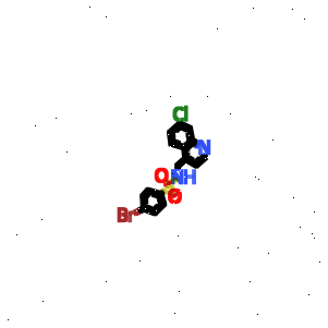 O=S(=O)(NCc1ccnc2cc(Cl)ccc12)c1ccc(Br)cc1